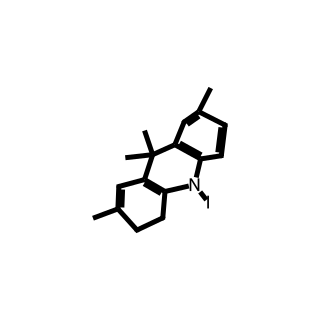 CC1=CC2=C(CC1)N(I)c1ccc(C)cc1C2(C)C